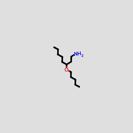 CCCCCOC(CCN)CCCCC